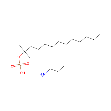 CCCCCCCCCCCC(C)(C)OS(=O)(=O)O.CCCN